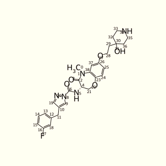 CN1C(=O)[C@@H](NC(=O)n2cc(Cc3cccc(F)c3)cn2)COc2ccc(OCCC3(O)CCNCC3)cc21